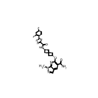 Cn1ncc2cc(C(N)=O)c(O[C@H]3CC4(C[C@H](NC(=O)c5nnc(-c6ccc(F)cc6F)s5)C4)C3)nc21